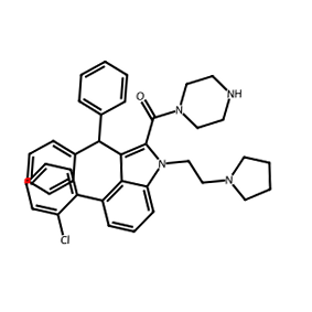 O=C(c1c(C(c2ccccc2)c2ccccc2)c2c(-c3ccccc3Cl)cccc2n1CCN1CCCC1)N1CCNCC1